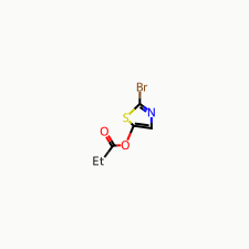 CCC(=O)Oc1cnc(Br)s1